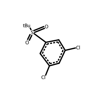 CC(C)(C)S(=O)(=O)c1cc(Cl)cc(Cl)c1